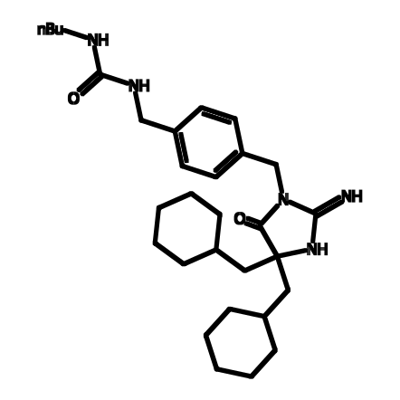 CCCCNC(=O)NCc1ccc(CN2C(=N)NC(CC3CCCCC3)(CC3CCCCC3)C2=O)cc1